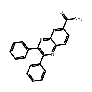 NC(=O)c1ccc2nc(-c3ccccc3)c(-c3ccccc3)nc2c1